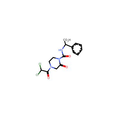 O=C(O)C(NC(=O)N1CCN(C(=O)C(Cl)Cl)CC1=O)c1ccccc1